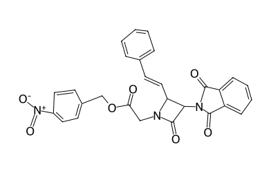 O=C(CN1C(=O)C(N2C(=O)c3ccccc3C2=O)C1C=Cc1ccccc1)OCc1ccc([N+](=O)[O-])cc1